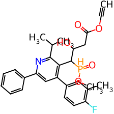 C#COC(=O)CC(O)C(c1c(-c2ccc(F)c(C)c2)cc(-c2ccccc2)nc1C(C)C)[PH](=O)OC